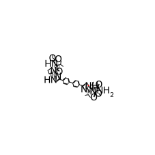 COC(=O)N[C@H](C(=O)N1CCC[C@H]1c1nc(-c2ccc(-c3ccc(-c4c[nH]c([C@@H](C(C)C)N(C(=O)OC)[C@H](C(N)=O)C(C)C)n4)cc3)cc2)c[nH]1)C(C)C